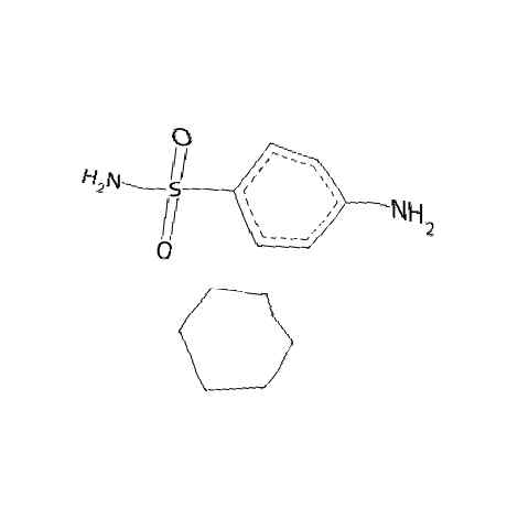 C1CCCCC1.Nc1ccc(S(N)(=O)=O)cc1